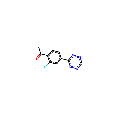 CC(=O)c1ccc(-c2nncnn2)cc1F